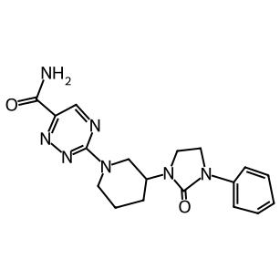 NC(=O)c1cnc(N2CCCC(N3CCN(c4ccccc4)C3=O)C2)nn1